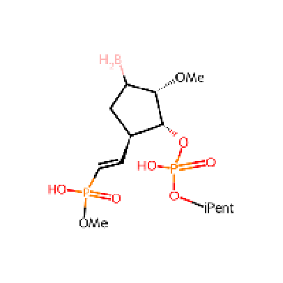 BC1C[C@H](/C=C/P(=O)(O)OC)[C@@H](OP(=O)(O)OC(C)CCC)[C@H]1OC